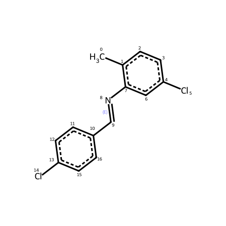 Cc1ccc(Cl)cc1/N=C/c1ccc(Cl)cc1